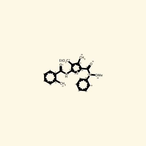 CCOC(=O)c1c(NC(=O)c2ccccc2C)sc(C(=O)N(OC)c2ccccc2)c1C